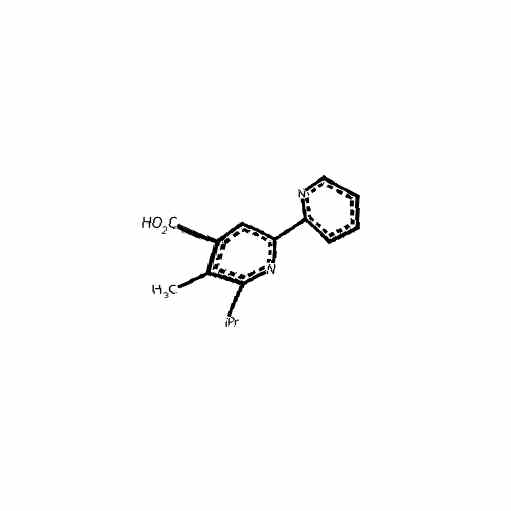 Cc1c(C(=O)O)cc(-c2ccccn2)nc1C(C)C